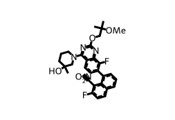 C#Cc1c(F)ccc2cccc(-c3c([N+](=O)[O-])cc4c(N5CCCC(C)(O)C5)nc(OCC(C)(C)OC)nc4c3F)c12